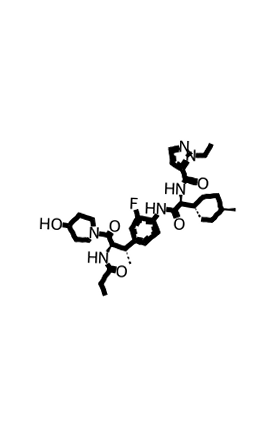 CCC(=O)N[C@@H](C(=O)N1CCC(O)CC1)[C@@H](C)c1ccc(NC(=O)[C@@H](NC(=O)c2ccnn2CC)[C@H]2CC[C@H](C)CC2)c(F)c1